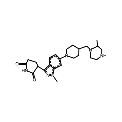 CC1CNCCN1CC1CCN(c2ccc3c(C4CCC(=O)NC4=O)nn(C)c3c2)CC1